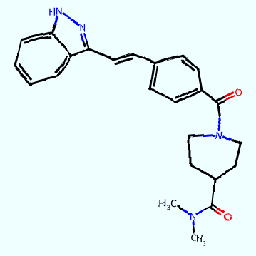 CN(C)C(=O)C1CCN(C(=O)c2ccc(C=Cc3n[nH]c4ccccc34)cc2)CC1